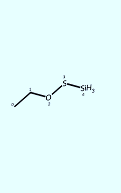 CCOS[SiH3]